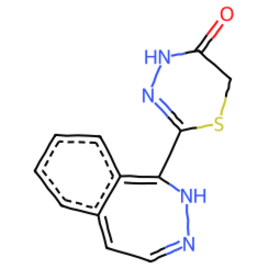 O=C1CSC(C2=c3ccccc3=CC=NN2)=NN1